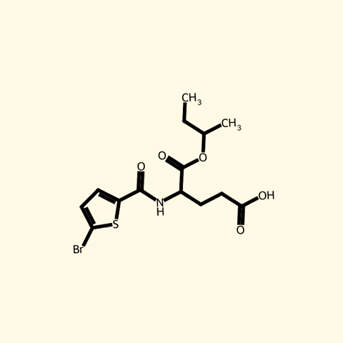 CCC(C)OC(=O)C(CCC(=O)O)NC(=O)c1ccc(Br)s1